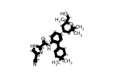 CC1(C)CC=C(c2cc([C@H]3CC(C)(C)O[C@](C)(CO)C3)ccc2NC(=O)c2nc(C#N)c[nH]2)CC1